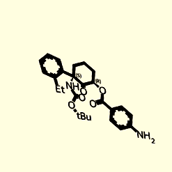 CCc1ccccc1[C@@]1(NC(=O)OC(C)(C)C)CCC[C@@H](OC(=O)c2ccc(N)cc2)C1=O